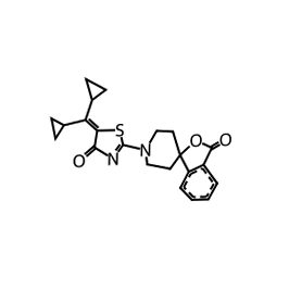 O=C1N=C(N2CCC3(CC2)OC(=O)c2ccccc23)SC1=C(C1CC1)C1CC1